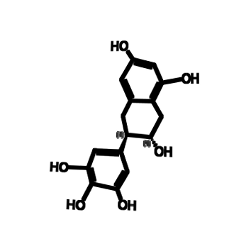 Oc1cc(O)c2c(c1)C[C@H](c1cc(O)c(O)c(O)c1)[C@@H](O)C2